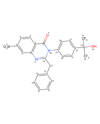 O=c1c2ccc([N+](=O)[O-])cc2nc(Cc2ccccc2)n1-c1ccc(C(O)(C(F)(F)F)C(F)(F)F)cc1